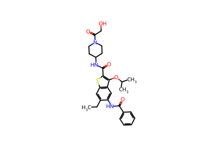 CCc1cc2sc(C(=O)NC3CCN(C(=O)CO)CC3)c(OC(C)C)c2cc1NC(=O)c1ccccc1